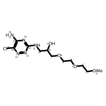 COCCOCCOCC(O)CNc1nnc(Cl)c(N)n1